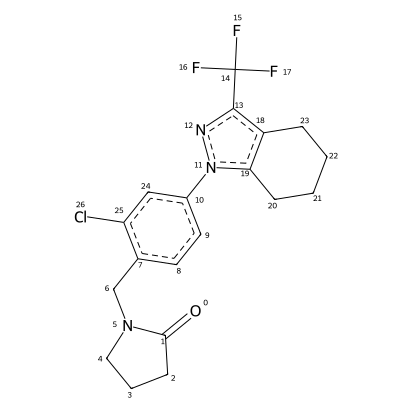 O=C1CCCN1Cc1ccc(-n2nc(C(F)(F)F)c3c2CCCC3)cc1Cl